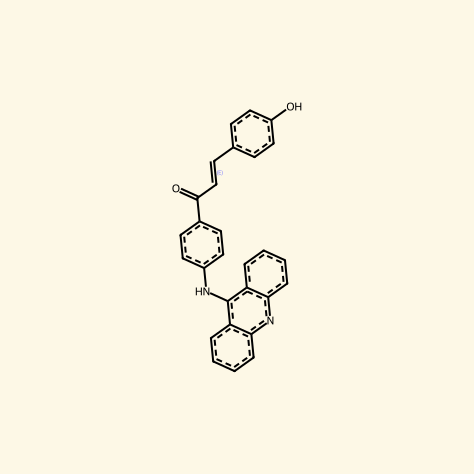 O=C(/C=C/c1ccc(O)cc1)c1ccc(Nc2c3ccccc3nc3ccccc23)cc1